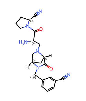 C[C@@H](c1cccc(C#N)c1)N1C(=O)[C@@H]2C[C@H]1CN2C[C@H](N)C(=O)N1CCC[C@H]1C#N